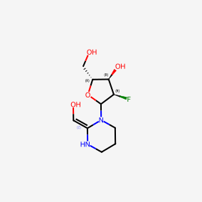 O/C=C1/NCCCN1C1O[C@H](CO)[C@@H](O)[C@H]1F